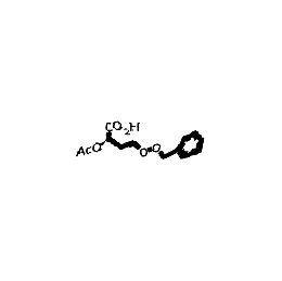 CC(=O)O[C@@H](CCOOCc1ccccc1)C(=O)O